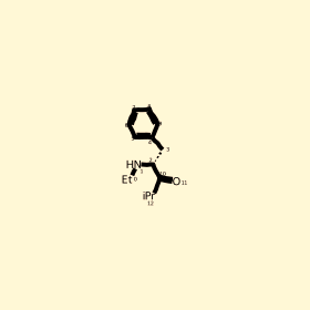 CCN[C@H](Cc1ccccc1)C(=O)C(C)C